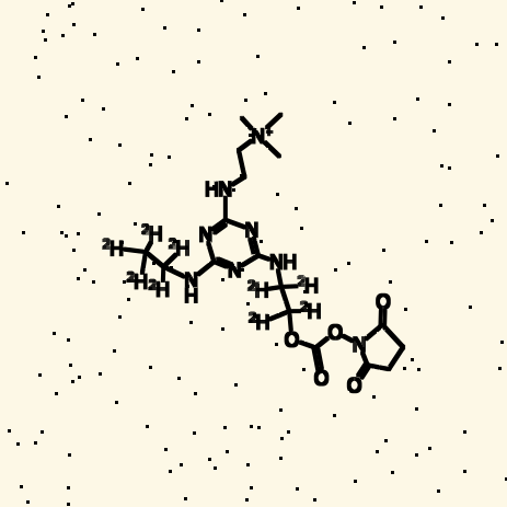 [2H]C([2H])([2H])C([2H])([2H])Nc1nc(NCC[N+](C)(C)C)nc(NC([2H])([2H])C([2H])([2H])OC(=O)ON2C(=O)CCC2=O)n1